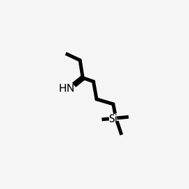 CCC(=N)CCC[Si](C)(C)C